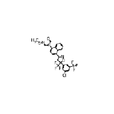 CON=CN(C=O)c1ccc(C2=NOC(c3cc(Cl)cc(C(F)(F)F)c3)(C(F)(F)F)C2)c2ccccc12